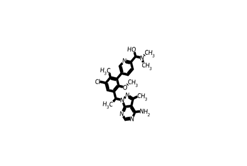 COc1c(C(C)n2nc(C)c3c(N)ncnc32)cc(Cl)c(C)c1-c1ccc(C(O)N(C)C)nc1